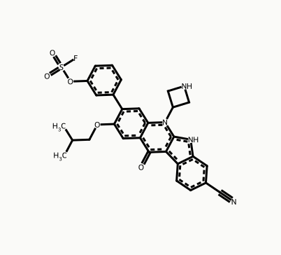 CC(C)COc1cc2c(=O)c3c4ccc(C#N)cc4[nH]c3n(C3CNC3)c2cc1-c1cccc(OS(=O)(=O)F)c1